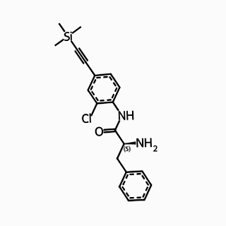 C[Si](C)(C)C#Cc1ccc(NC(=O)[C@@H](N)Cc2ccccc2)c(Cl)c1